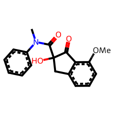 COc1cccc2c1C(=O)C(O)(C(=O)N(C)c1ccccc1)C2